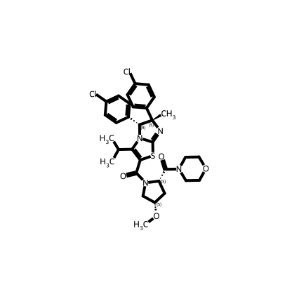 CO[C@H]1C[C@@H](C(=O)N2CCOCC2)N(C(=O)C2=C(C(C)C)N3C(=N[C@@](C)(c4ccc(Cl)cc4)[C@H]3c3ccc(Cl)cc3)S2)C1